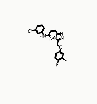 Fc1ccc(OCc2nnc3ccc(Nc4cccc(Cl)c4)nn23)cc1F